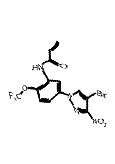 C=CC(=O)Nc1cc(-n2cc(Br)c([N+](=O)[O-])n2)ccc1OC(F)(F)F